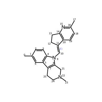 Cc1ccc2c(c1)c1c(n2/C=C2\CCc3nc(C)ccc32)CN(C)CC1